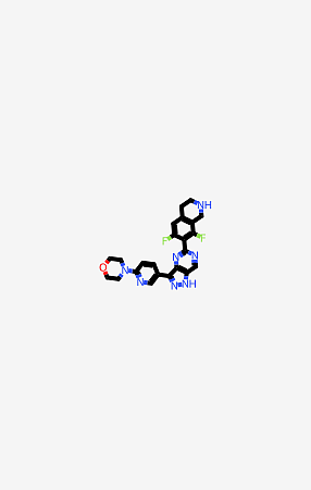 Fc1cc2c(c(F)c1-c1ncc3[nH]nc(-c4ccc(N5CCOCC5)nc4)c3n1)CNCC2